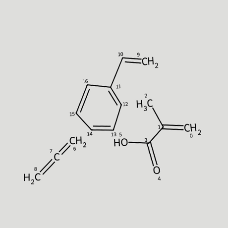 C=C(C)C(=O)O.C=C=C.C=Cc1ccccc1